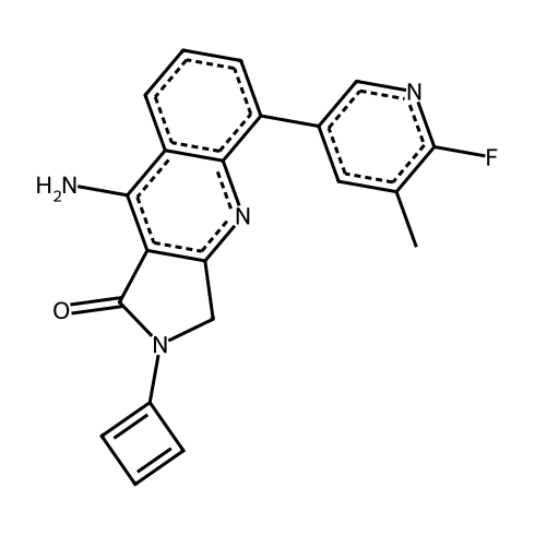 Cc1cc(-c2cccc3c(N)c4c(nc23)CN(C2=CC=C2)C4=O)cnc1F